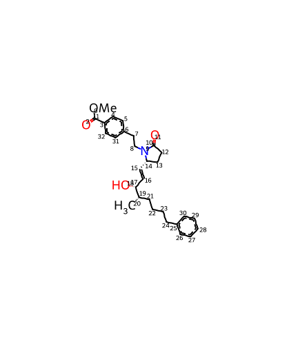 COC(=O)c1ccc(CCN2C(=O)CC[C@@H]2/C=C/[C@@H](O)[C@@H](C)CCCCc2ccccc2)cc1